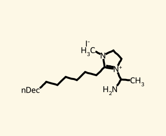 CCCCCCCCCCCCCCCCC1=[N+](C(C)N)CCN1C.[I-]